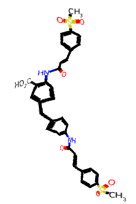 CS(=O)(=O)c1ccc(/C=C/C(=O)Nc2ccc(Cc3ccc(NC(=O)/C=C/c4ccc(S(C)(=O)=O)cc4)c(C(=O)O)c3)cc2)cc1